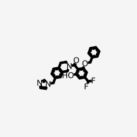 O=C(c1c(O)cc(C(F)F)cc1OCc1ccccc1)N1CCc2ccc(Cn3ccnc3)cc2C1